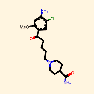 COc1cc(N)c(Cl)cc1C(=O)CCCCN1CCC(C(N)=O)CC1